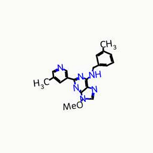 COn1cnc2c(NCc3cccc(C)c3)nc(-c3cncc(C)c3)nc21